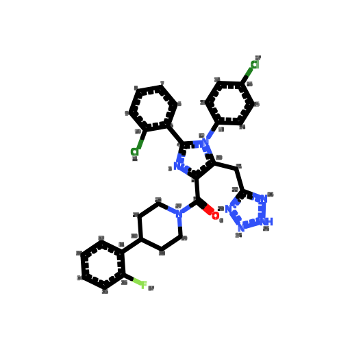 O=C(c1nc(-c2ccccc2Cl)n(-c2ccc(Cl)cc2)c1Cc1nn[nH]n1)N1CCC(c2ccccc2F)CC1